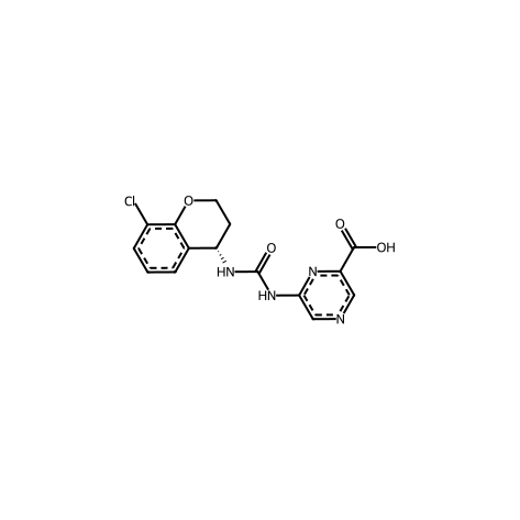 O=C(Nc1cncc(C(=O)O)n1)N[C@H]1CCOc2c(Cl)cccc21